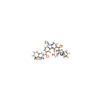 CCn1c2ccc(C(=O)/C(CC3CCCCC3)=N/OC(C)=O)cc2c2cc(C(=O)C(CC)(Cc3ccccc3)N(C)C)ccc21